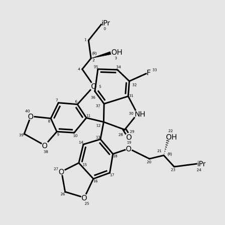 CC(C)C[C@@H](O)COc1cc2c(cc1C1(c3cc4c(cc3OC[C@H](O)CC(C)C)OCO4)C(=O)Nc3c(F)cccc31)OCO2